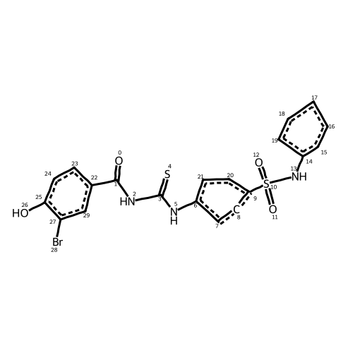 O=C(NC(=S)Nc1ccc(S(=O)(=O)Nc2ccccc2)cc1)c1ccc(O)c(Br)c1